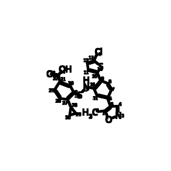 Cc1oncc1-c1ccc(-c2ccc(Cl)s2)c(NSc2cc(C(=O)O)ccc2C2CC2)c1